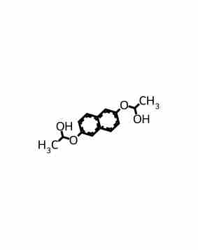 CC(O)Oc1ccc2cc(OC(C)O)ccc2c1